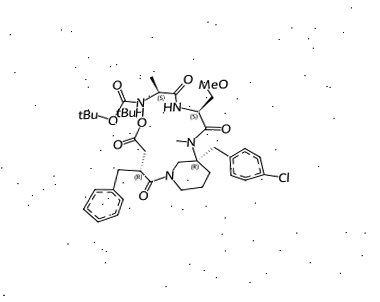 COC[C@H](NC(=O)[C@H](C)NC(=O)OC(C)(C)C)C(=O)N(C)[C@@]1(Cc2ccc(Cl)cc2)CCCN(C(=O)[C@@H](CC(=O)OC(C)(C)C)Cc2ccccc2)C1